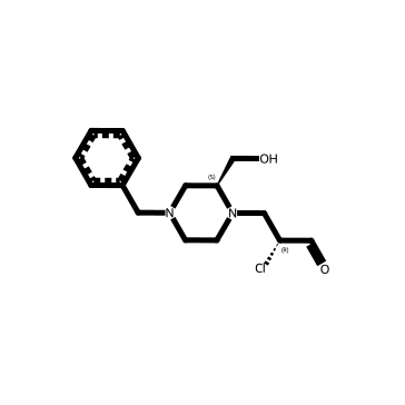 O=C[C@H](Cl)CN1CCN(Cc2ccccc2)C[C@H]1CO